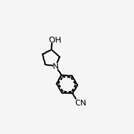 N#Cc1ccc(N2CCC(O)C2)cc1